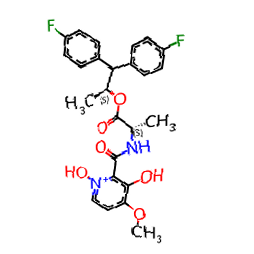 COc1cc[n+](O)c(C(=O)N[C@@H](C)C(=O)O[C@@H](C)C(c2ccc(F)cc2)c2ccc(F)cc2)c1O